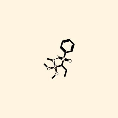 CCC([Si](OC)(OC)OC)S(=O)(=O)c1ccccc1